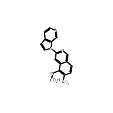 O=C(O)Nc1c([N+](=O)[O-])ccc2cnc(-n3ccc4ccncc43)cc12